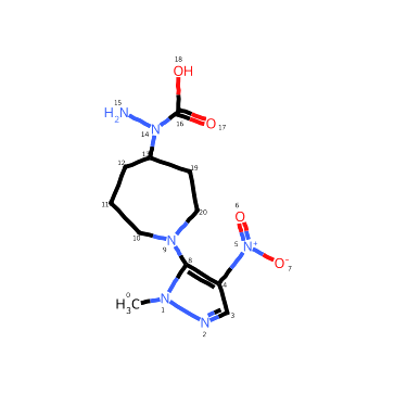 Cn1ncc([N+](=O)[O-])c1N1CCCC(N(N)C(=O)O)CC1